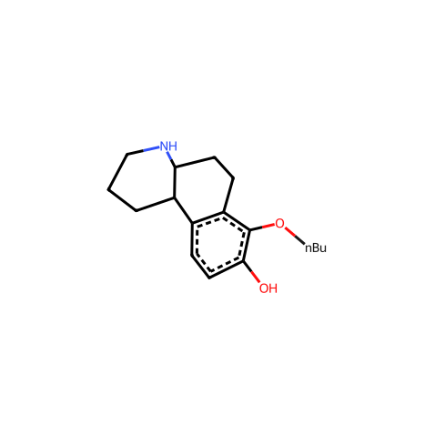 CCCCOc1c(O)ccc2c1CCC1NCCCC21